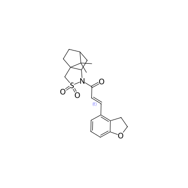 CC1(C)C2CCC13CS(=O)(=O)N(C(=O)/C=C/c1cccc4c1CCO4)C3C2